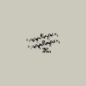 CCOC(=O)C[CH2][Sn+]([Cl])[CH2]CC(=O)OCC.CCOC(=O)C[CH2][Sn+]([Cl])[CH2]CC(=O)OCC.O=P([O-])([O-])O